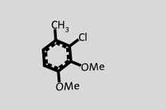 COc1ccc(C)c(Cl)c1OC